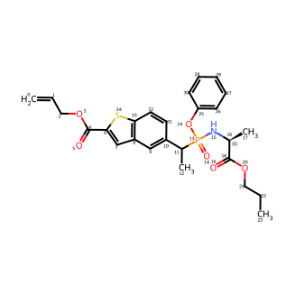 C=CCOC(=O)c1cc2cc(C(C)P(=O)(N[C@@H](C)C(=O)OCCC)Oc3ccccc3)ccc2s1